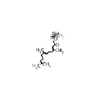 CC(C)=CCCC(C)=CCCC(C)=CC(=O)COP(C)(=O)O